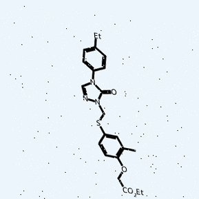 CCOC(=O)COc1ccc(SCn2ncn(-c3ccc(CC)cc3)c2=O)cc1C